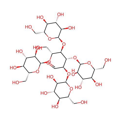 O=C[C@H](O[C@H]1O[C@H](CO)[C@@H](O)[C@H](O)[C@H]1O)[C@@H](O[C@H]1O[C@H](CO)[C@@H](O)[C@H](O)[C@H]1O)[C@H](O[C@H]1O[C@H](CO)[C@@H](O)[C@H](O)[C@H]1O)[C@@H](CO)O[C@H]1O[C@H](CO)[C@@H](O)[C@H](O)[C@H]1O